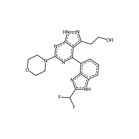 OCCc1n[nH]c2nc(N3CCOCC3)nc(-c3cccc4[nH]c(C(F)F)nc34)c12